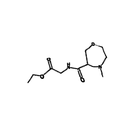 CCOC(=O)CNC(=O)C1COCCN1C